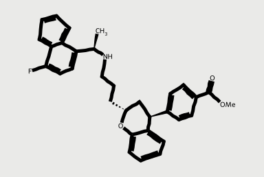 COC(=O)c1ccc([C@@H]2C[C@@H](CCCN[C@H](C)c3ccc(F)c4ccccc34)Oc3ccccc32)cc1